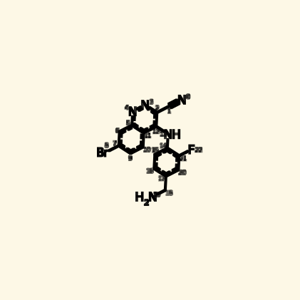 N#Cc1nnc2cc(Br)ccc2c1Nc1ccc(CN)cc1F